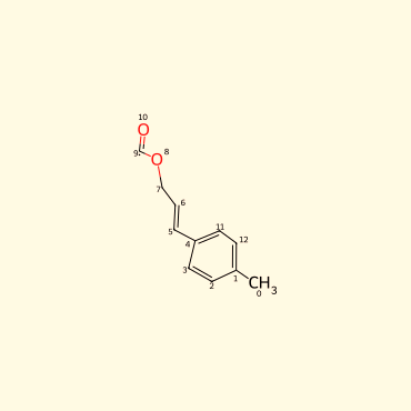 Cc1ccc(C=CCO[C]=O)cc1